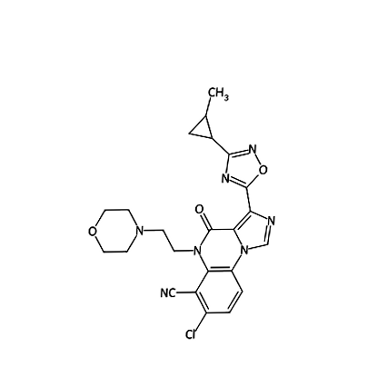 CC1CC1c1noc(-c2ncn3c2c(=O)n(CCN2CCOCC2)c2c(C#N)c(Cl)ccc23)n1